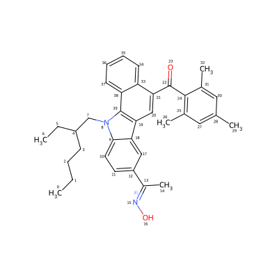 CCCCC(CC)Cn1c2ccc(/C(C)=N/O)cc2c2cc(C(=O)c3c(C)cc(C)cc3C)c3ccccc3c21